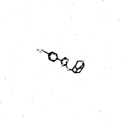 Nc1ccc(-c2cnc(OC3C4CC5CC3CN(C5)C4)s2)cc1